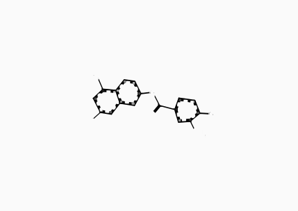 Cc1cc(C(=O)Nc2ccc3c(O)cc(S(=O)(=O)O)cc3c2)ccc1[N+](=O)[O-]